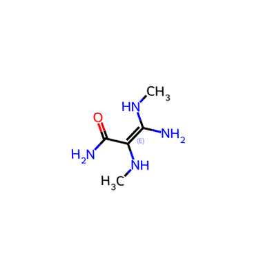 CN/C(N)=C(/NC)C(N)=O